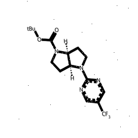 CC(C)(C)OC(=O)N1CC[C@H]2[C@@H]1CCN2c1ncc(C(F)(F)F)cn1